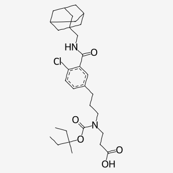 CCC(C)(CC)OC(=O)N(CCCc1ccc(Cl)c(C(=O)NCC23CC4CC(CC(C4)C2)C3)c1)CCC(=O)O